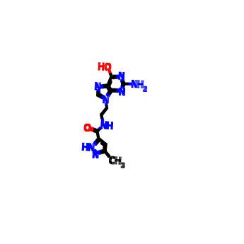 Cc1cc(C(=O)NCCn2cnc3c(O)nc(N)nc32)[nH]n1